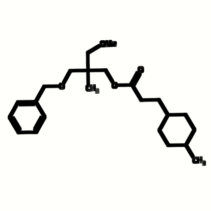 COCC(C)(COCc1ccccc1)COC(=O)CCC1CCC(C)CC1